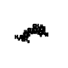 C[C@@H]1C[C@@H](c2ccc(C#N)c3ncccc23)CN(CC(=O)N2CCC(N(C)C)CC2)C1